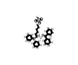 CS(=O)(=O)OCCCCCCP(c1ccccc1)c1ccccc1.PC(c1ccccc1)c1ccccc1